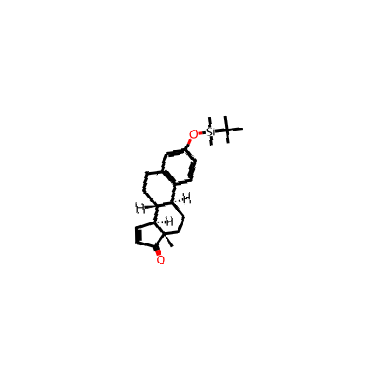 CC(C)(C)[Si](C)(C)Oc1ccc2c(c1)CC[C@@H]1[C@@H]2CC[C@]2(C)C(=O)C=C[C@@H]12